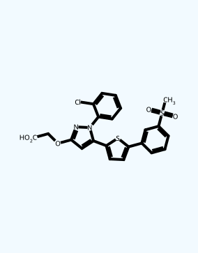 CS(=O)(=O)c1cccc(-c2ccc(-c3cc(OCC(=O)O)nn3-c3ccccc3Cl)s2)c1